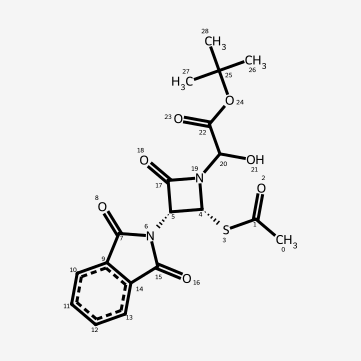 CC(=O)S[C@@H]1[C@H](N2C(=O)c3ccccc3C2=O)C(=O)N1C(O)C(=O)OC(C)(C)C